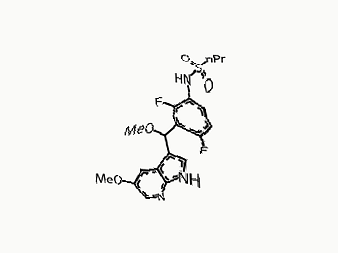 CCCS(=O)(=O)Nc1ccc(F)c(C(OC)c2c[nH]c3ncc(OC)cc23)c1F